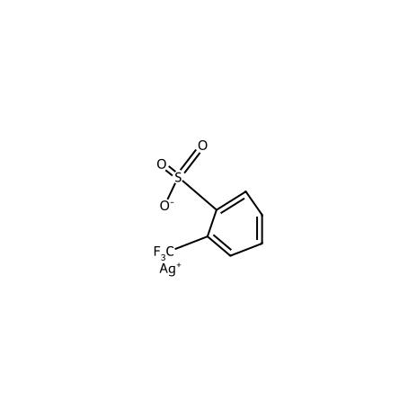 O=S(=O)([O-])c1ccccc1C(F)(F)F.[Ag+]